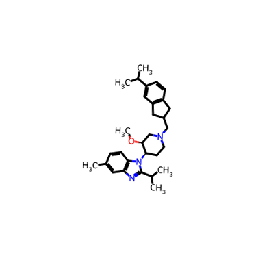 CO[C@H]1CN(CC2Cc3ccc(C(C)C)cc3C2)CC[C@H]1n1c(C(C)C)nc2cc(C)ccc21